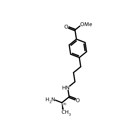 COC(=O)c1ccc(CCCNC(=O)[C@@H](C)N)cc1